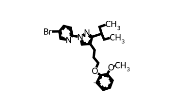 CCC(CC)c1nn(-c2ccc(Br)cn2)cc1CCCOc1[c]cccc1OC